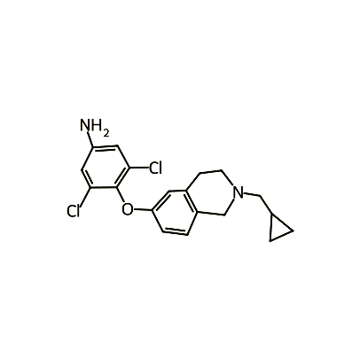 Nc1cc(Cl)c(Oc2ccc3c(c2)CCN(CC2CC2)C3)c(Cl)c1